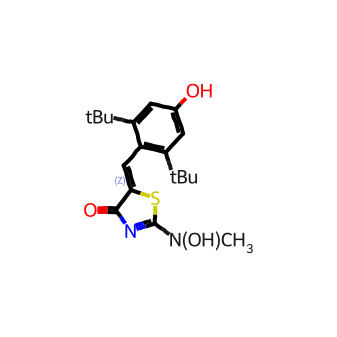 CN(O)C1=NC(=O)/C(=C/c2c(C(C)(C)C)cc(O)cc2C(C)(C)C)S1